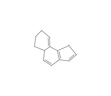 [CH]1C=CC2=C1C1=CCCCC1C=C2